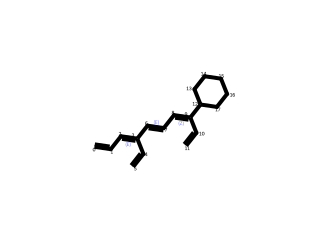 C=C/C=C(C=C)/C=C/C=C(\C=C)C1CCCCC1